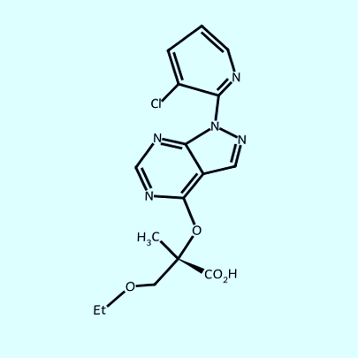 CCOC[C@](C)(Oc1ncnc2c1cnn2-c1ncccc1Cl)C(=O)O